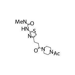 CNC(=O)Nc1nc(CCC(=O)N2CCN(C(C)=O)CC2)cs1